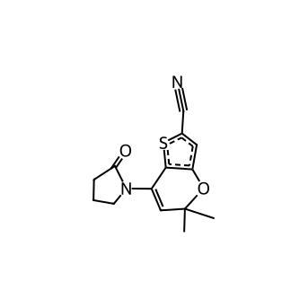 CC1(C)C=C(N2CCCC2=O)c2sc(C#N)cc2O1